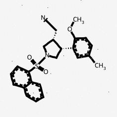 COc1ccc(C)cc1[C@@H]1CN(S(=O)(=O)c2cccc3ccccc23)C[C@@H]1CC#N